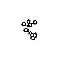 c1ccc(-c2ccc(N(c3ccccc3)c3cccc(-c4nc5c(o4)-c4cccc6cccc-5c46)c3)c3ccccc23)cc1